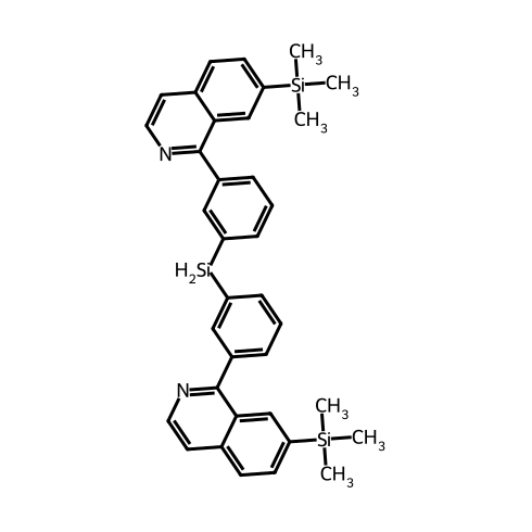 C[Si](C)(C)c1ccc2ccnc(-c3cccc([SiH2]c4cccc(-c5nccc6ccc([Si](C)(C)C)cc56)c4)c3)c2c1